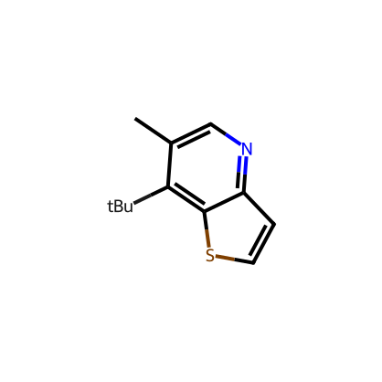 Cc1cnc2ccsc2c1C(C)(C)C